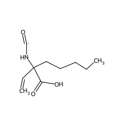 C=CC(CCCCC)(N[C]=O)C(=O)O